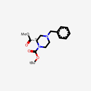 COC(=O)[C@@H]1CN(Cc2ccccc2)CCN1C(=O)OC(C)(C)C